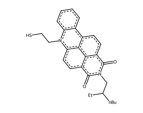 CCCCC(CC)Cn1c(=O)c2ccc3c4ccccc4n(CCS)c4ccc(c1=O)c2c34